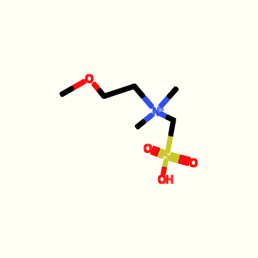 COCC[N+](C)(C)CS(=O)(=O)O